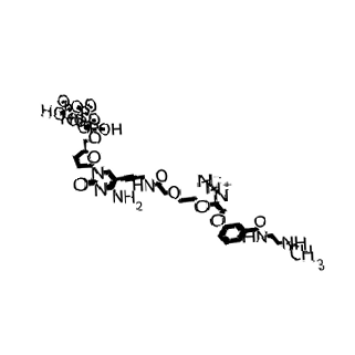 CNCCNC(=O)c1cccc(OCC(N=[N+]=[N-])OCCOCC(=O)NCC#Cc2cn([C@H]3CC[C@@H](COP(=O)(O)OP(=O)(O)OP(=O)(O)O)O3)c(=O)nc2N)c1